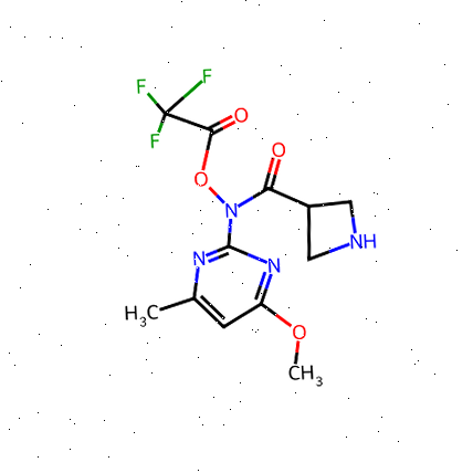 COc1cc(C)nc(N(OC(=O)C(F)(F)F)C(=O)C2CNC2)n1